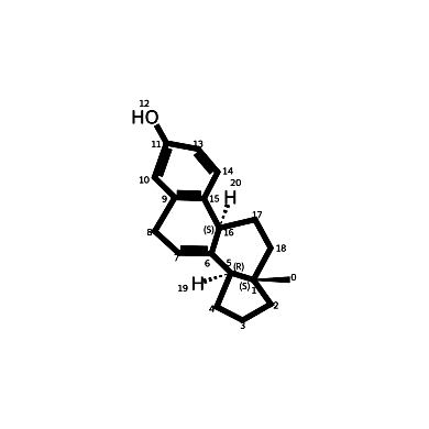 C[C@@]12CCC[C@H]1C1=CCc3cc(O)ccc3[C@H]1CC2